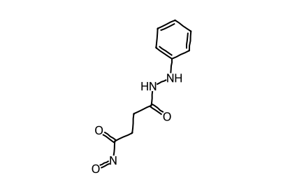 O=NC(=O)CCC(=O)NNc1ccccc1